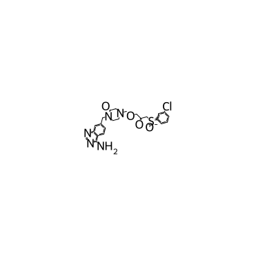 Nc1ncnc2cc(CN3CCN(COCC(=O)C[S+]([O-])c4cccc(Cl)c4)CC3=O)ccc12